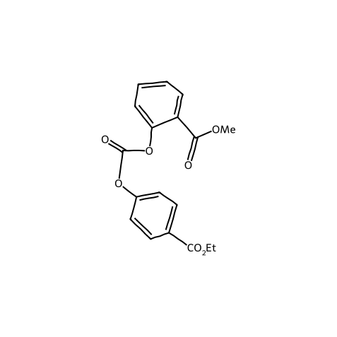 CCOC(=O)c1ccc(OC(=O)Oc2ccccc2C(=O)OC)cc1